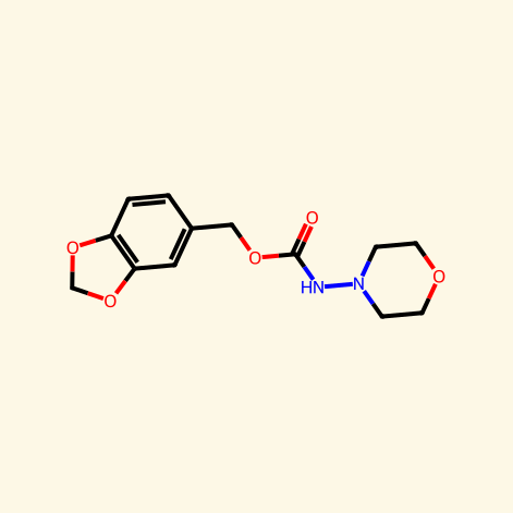 O=C(NN1CCOCC1)OCc1ccc2c(c1)OCO2